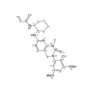 C=CC(=O)NC1CCCCC1Nc1ncc2c(n1)N(C)C(=O)N(c1cc(OC)cc(OC)c1Cl)C2